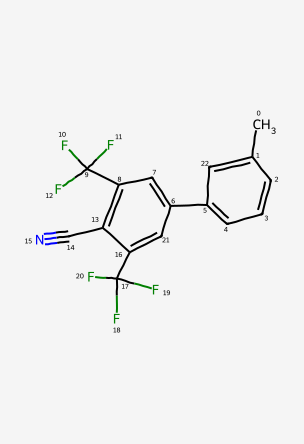 Cc1cccc(-c2cc(C(F)(F)F)c(C#N)c(C(F)(F)F)c2)c1